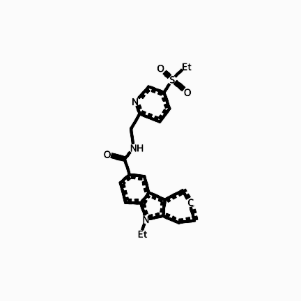 CCn1c2ccccc2c2cc(C(=O)NCc3ccc(S(=O)(=O)CC)cn3)ccc21